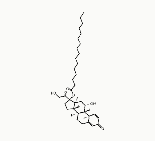 CCCCCCCCCCCCCCCC(=O)O[C@]1(C(=O)CO)CC[C@H]2[C@@H]3CCC4=CC(=O)C=C[C@]4(C)[C@H]3[C@@H](O)C[C@@]21C